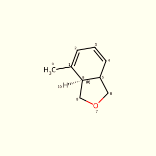 CC1=CC=CC2COC[C@@H]12